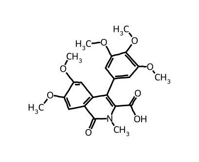 COc1cc2c(-c3cc(OC)c(OC)c(OC)c3)c(C(=O)O)n(C)c(=O)c2cc1OC